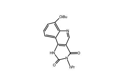 CCCn1c(=O)[nH]c2c(cnc3c(OCC(C)C)cccc32)c1=O